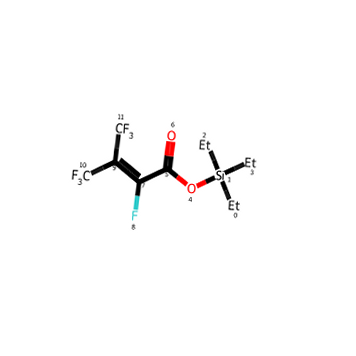 CC[Si](CC)(CC)OC(=O)C(F)=C(C(F)(F)F)C(F)(F)F